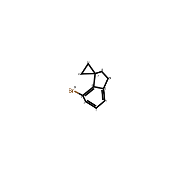 Brc1cccc2c1C1(CC2)CC1